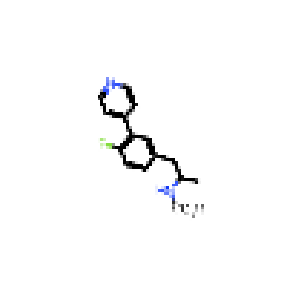 CC(Cc1ccc(F)c(-c2ccncc2)c1)NC(=O)O